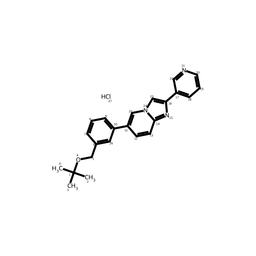 CC(C)(C)OCc1cccc(-c2ccc3nc(-c4cccnc4)cn3c2)c1.Cl